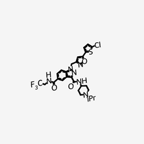 CC(C)N1CCC(NC(=O)c2nn(Cc3cc(-c4ccc(Cl)s4)on3)c3ccc(C(=O)NCC(F)(F)F)cc23)CC1